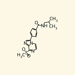 CC(C)CNC(=O)c1ccc(-c2cnc3c(S(C)(=O)=O)nccn23)cc1